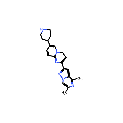 Cc1cn2nc(C3=CCN4C=C(C5CCNCC5)C=CC4=N3)cc2c(C)n1